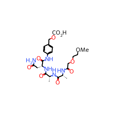 COCCOCC(=O)N[C@H](C)C(=O)N[C@H](C)C(=O)N[C@H](CC(N)=O)C(=O)Nc1ccc(COC(=O)O)cc1